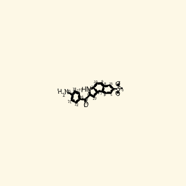 CS(=O)(=O)c1ccc2c(ccc3[nH]c(C(=O)c4ccc(N)cc4)cc32)c1